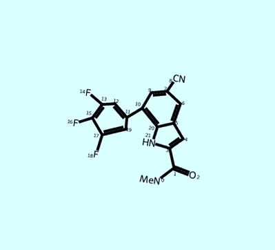 CNC(=O)c1cc2cc(C#N)cc(-c3cc(F)c(F)c(F)c3)c2[nH]1